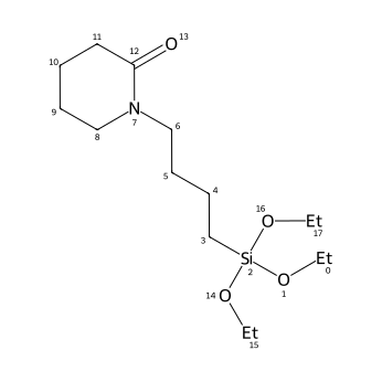 CCO[Si](CCCCN1CCCCC1=O)(OCC)OCC